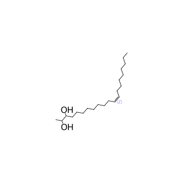 CCCCCCCC/C=C\CCCCCCCCC(O)C(C)O